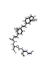 C=N/C(=C\C=C/C)CCOC(CC)CCC(C)/C=C/C1=NNC(/C=C/c2ccc3cc[nH]c3c2)=C=C1